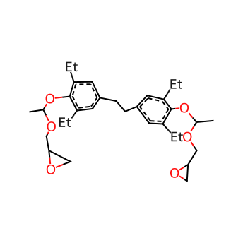 CCc1cc(CCc2cc(CC)c(OC(C)OCC3CO3)c(CC)c2)cc(CC)c1OC(C)OCC1CO1